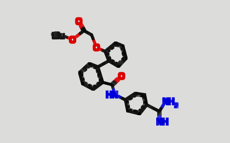 CC(C)(C)OC(=O)COc1ccccc1-c1ccccc1C(=O)Nc1ccc(C(=N)N)cc1